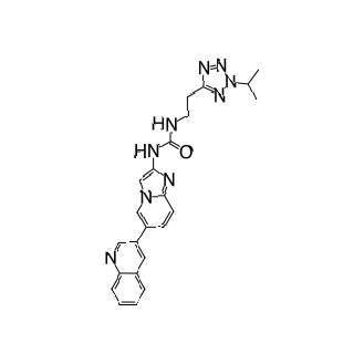 CC(C)n1nnc(CCNC(=O)Nc2cn3cc(-c4cnc5ccccc5c4)ccc3n2)n1